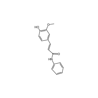 COc1cc(/C=C/C(=O)Nc2ccccc2)ccc1O